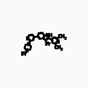 Cc1cc(-c2[nH]c3ccc(-c4ccnc(N5CCN(C(C)C)CC5)c4)cc3c2C(C)C)cc(C)n1